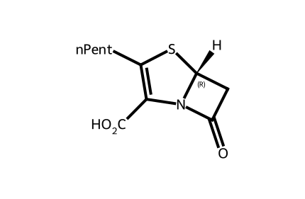 CCCCCC1=C(C(=O)O)N2C(=O)C[C@H]2S1